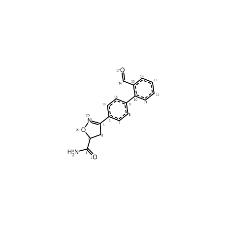 NC(=O)C1CC(c2ccc(-c3ccccc3C=O)cc2)=NO1